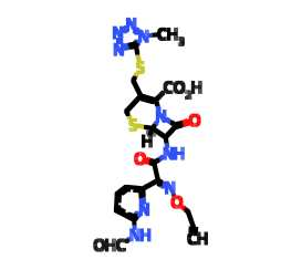 C#CCON=C(C(=O)NC1C(=O)N2C(C(=O)O)=C(CSc3nnnn3C)CS[C@@H]12)c1cccc(NC=O)n1